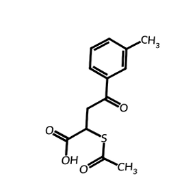 CC(=O)SC(CC(=O)c1cccc(C)c1)C(=O)O